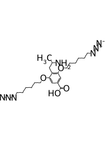 CC(N)Cc1c(OCCCCCCN=[N+]=[N-])cc(C(=O)O)cc1OCCCCCCN=[N+]=[N-]